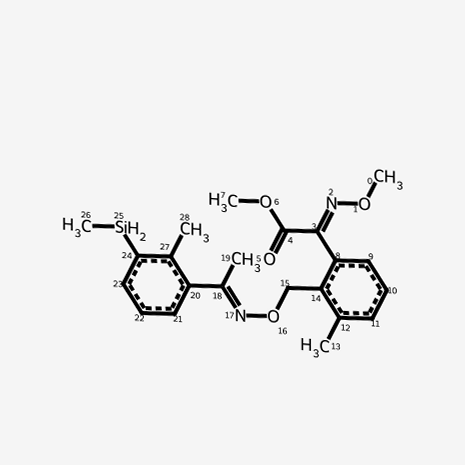 CO/N=C(/C(=O)OC)c1cccc(C)c1CO/N=C(\C)c1cccc([SiH2]C)c1C